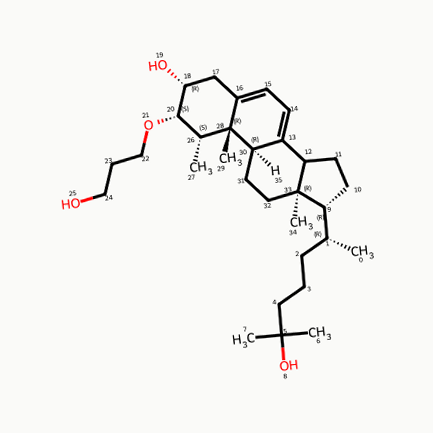 C[C@H](CCCC(C)(C)O)[C@H]1CCC2C3=CC=C4C[C@@H](O)[C@@H](OCCCO)[C@@H](C)[C@@]4(C)[C@@H]3CC[C@@]21C